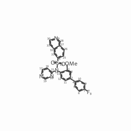 COc1cc(-c2ccc(F)cc2)ccc1N(c1ccncn1)S(=O)(=O)c1ccc2cnccc2c1